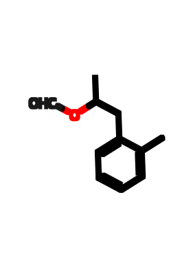 Cc1ccccc1CC(C)OC=O